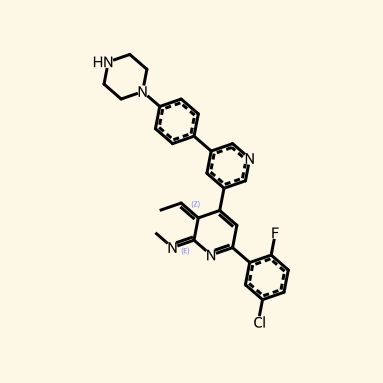 C/C=C1/C(c2cncc(-c3ccc(N4CCNCC4)cc3)c2)=CC(c2cc(Cl)ccc2F)=N/C1=N/C